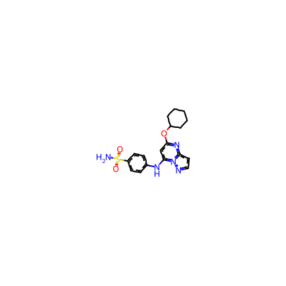 NS(=O)(=O)c1ccc(Nc2cc(OC3CCCCC3)nc3ccnn23)cc1